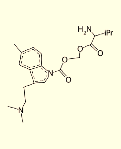 Cc1ccc2c(c1)c(CCN(C)C)cn2C(=O)OCOC(=O)C(N)C(C)C